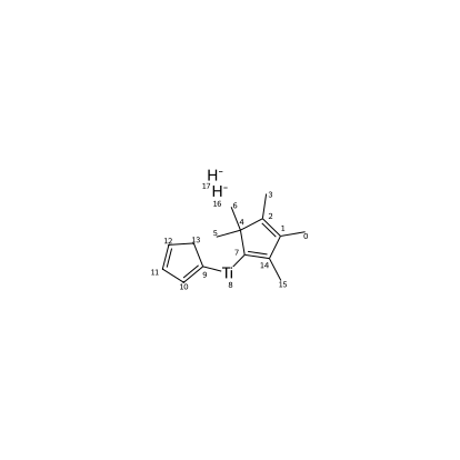 CC1=C(C)C(C)(C)[C]([Ti][C]2=CC=CC2)=C1C.[H-].[H-]